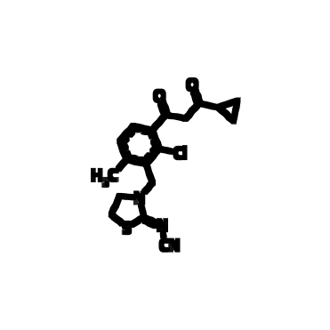 Cc1ccc(C(=O)CC(=O)C2CC2)c(Cl)c1CN1CCSC1=NC#N